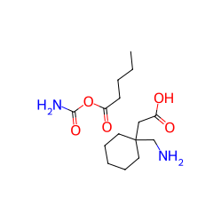 CCCCC(=O)OC(N)=O.NCC1(CC(=O)O)CCCCC1